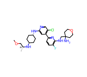 COC[C@@H](C)N[C@H]1CC[C@H](Nc2cc(-c3ccc(F)c(NCC4(N)CCOCC4)n3)c(Cl)cn2)CC1